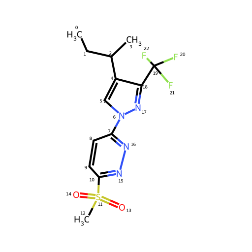 CCC(C)c1[c]n(-c2ccc(S(C)(=O)=O)nn2)nc1C(F)(F)F